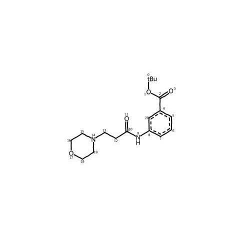 CC(C)(C)OC(=O)c1cccc(NC(=O)CCN2CCOCC2)c1